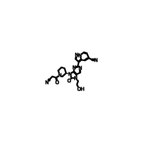 N#CCC(=O)N1CCC[C@H](n2c(=O)n(CCO)c3cnc(-c4cnn5ccc(C#N)cc45)nc32)C1